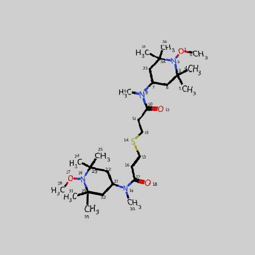 CON1C(C)(C)CC(N(C)C(=O)CCSCCC(=O)N(C)C2CC(C)(C)N(OC)C(C)(C)C2)CC1(C)C